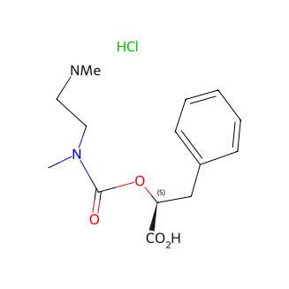 CNCCN(C)C(=O)O[C@@H](Cc1ccccc1)C(=O)O.Cl